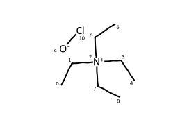 CC[N+](CC)(CC)CC.[O-]Cl